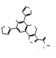 COc1c(C2=CCCO2)cc2c(c1-c1ccsc1)OCc1c(C(=O)N(C)C(C)(C)C)n[nH]c1-2